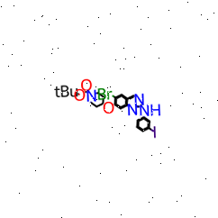 CC(C)(C)OC(=O)N1CCC(Oc2cc3nc(Nc4cccc(I)c4)ncc3cc2Br)CC1